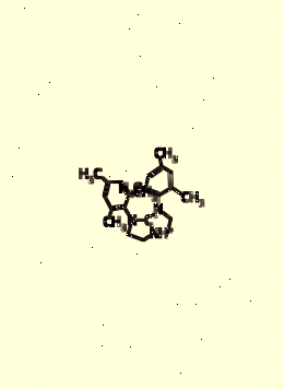 Cc1cc(C)c(N2CC[NH+]3CCN(c4c(C)cc(C)cc4C)[C-]23)c(C)c1